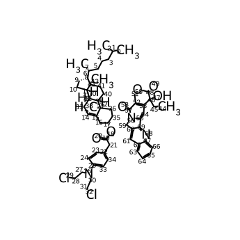 CC(C)CCC[C@@H](C)[C@H]1CC[C@H]2[C@@H]3CC=C4C[C@@H](OC(=O)Cc5ccc(N(CCCl)CCCl)cc5)CC[C@]4(C)[C@H]3CC[C@]12C.CC[C@@]1(O)C(=O)OCc2c1cc1n(c2=O)Cc2cc3ccccc3nc2-1